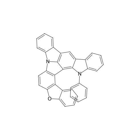 c1ccc(-n2c3ccccc3c3cc4c5ccccc5n5c6ccc7oc8ccccc8c7c6c(c32)c45)cc1